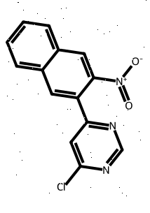 O=[N+]([O-])c1cc2ccccc2cc1-c1cc(Cl)ncn1